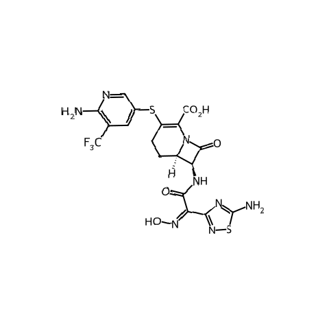 Nc1nc(/C(=N/O)C(=O)N[C@@H]2C(=O)N3C(C(=O)O)=C(Sc4cnc(N)c(C(F)(F)F)c4)CC[C@H]23)ns1